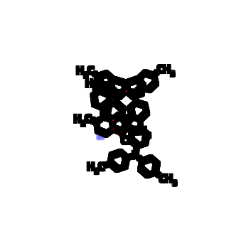 C=C(/C=C\C1=C(C)C2(c3cc(N(c4ccccc4)c4ccc(C)cc4)ccc31)c1cc(N(c3ccc(C)cc3)c3ccc(C)cc3)ccc1-c1ccc(N(c3ccc(C)cc3)c3ccc(C)cc3)cc12)N(c1ccccc1)c1ccc(C)cc1